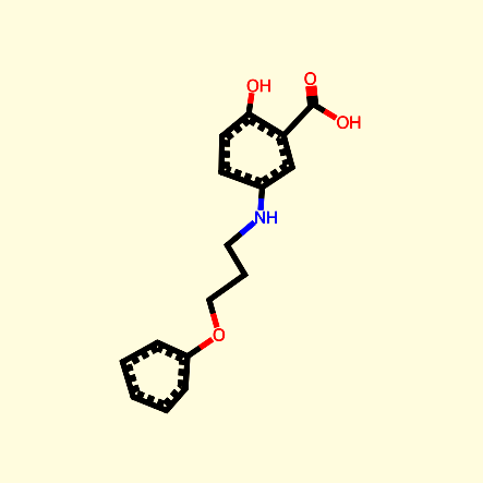 O=C(O)c1cc(NCCCOc2ccccc2)ccc1O